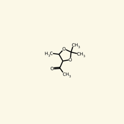 CC(=O)C1OC(C)(C)OC1C